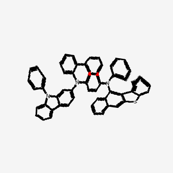 c1ccc(-c2ccccc2N(c2ccc(N(c3ccccc3)c3c4ccccc4cc4sc5ccccc5c34)cc2)c2ccc3c4ccccc4n(-c4ccccc4)c3c2)cc1